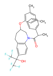 Cc1cc(C)cc(OC2CCc3cc(C(O)(C(F)(F)F)C(F)(F)F)ccc3N(C(=O)C(C)c3ccccc3)C2)c1